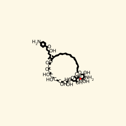 CC1/C=C/C=C/C=C/C=C/C=C/C=C/C=C/C(O[C@@H]2O[C@H](C)[C@@H](O)[C@H](N)[C@H]2O)CC2OC(O)(CC(O)CC(O)CCCC(O)CC(O)CC(=O)CC(=O)OC1C(C)CCC(O)CC(=O)c1ccc(N)cc1)CC(O)C2C(=O)O